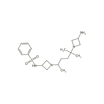 CC(CCC(C)(C)N1CC(N)C1)N1CC(NS(=O)(=O)c2ccccc2)C1